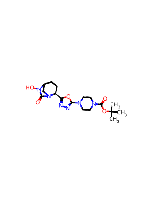 CC(C)(C)OC(=O)N1CCN(c2nnc([C@@H]3CCC4CN3C(=O)N4O)o2)CC1